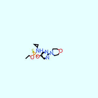 CCOP(=S)(NC1CC1)Oc1cnc(N2CCOCC2)nc1